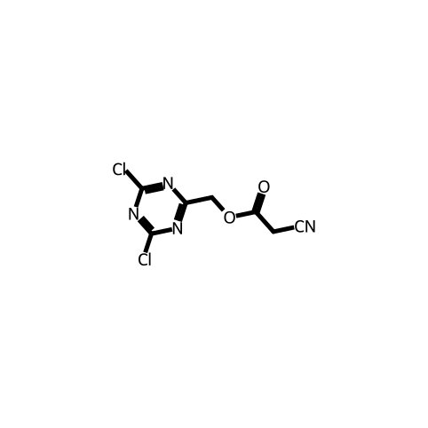 N#CCC(=O)OCc1nc(Cl)nc(Cl)n1